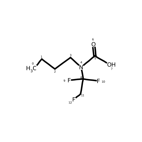 CCCCN(C(=O)O)C(F)(F)CF